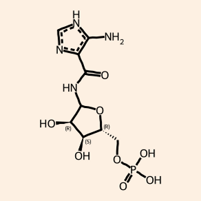 Nc1[nH]cnc1C(=O)NC1O[C@H](COP(=O)(O)O)[C@@H](O)[C@H]1O